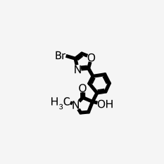 CN1CCC(O)(c2cccc(-c3nc(Br)co3)c2)C1=O